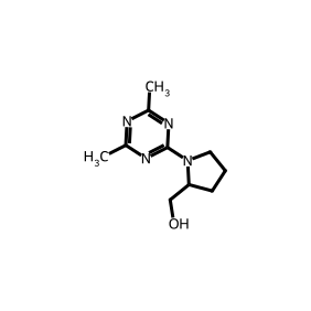 Cc1nc(C)nc(N2CCCC2CO)n1